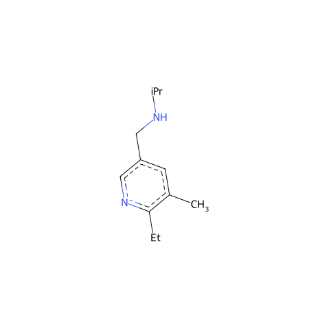 CCc1ncc(CNC(C)C)cc1C